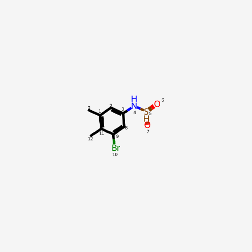 Cc1cc(N[SH](=O)=O)cc(Br)c1C